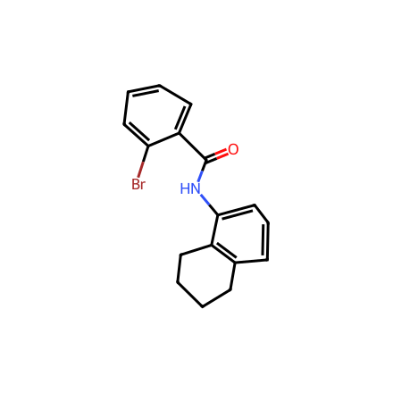 O=C(Nc1cccc2c1CCCC2)c1ccccc1Br